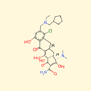 CCN(Cc1cc(O)c2c(c1Cl)C[C@H]1C[C@H]3[C@H](N(C)C)C(O)=C(C(N)=O)C(=O)[C@@]3(O)C(O)=C1C2=O)CC1CCCC1